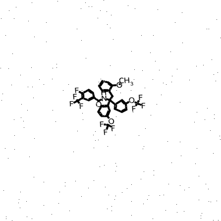 COc1ccccc1CC(NC(=O)c1ccc(F)c(C(F)(F)F)c1)(c1cccc(OC(F)(F)F)c1)c1cccc(OC(F)(F)F)c1